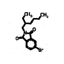 CCCCC(CC)CN1C(=O)c2ccc(Br)cc2C1=O